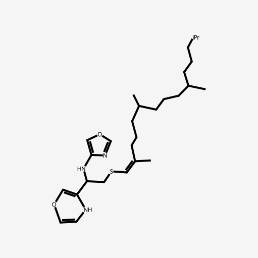 CC(=CSCC(Nc1cocn1)C1=COC=CN1)CCCC(C)CCCC(C)CCCC(C)C